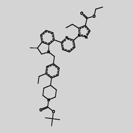 CCOC(=O)c1cnn(-c2cccc(-c3cccc4c3N(Cc3ccc(C5CCN(C(=O)OC(C)(C)C)CC5)c(CC)c3)CC4C)n2)c1CC